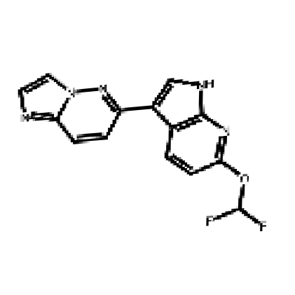 FC(F)Oc1ccc2c(-c3ccc4nccn4n3)c[nH]c2n1